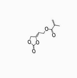 C=C(C)C(=O)OCC=C1COC(=O)O1